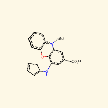 CCCCN(CCCC)c1cc(C(=O)O)cc(NC2=CC=CC2)c1Oc1ccccc1